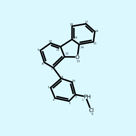 ClPc1cccc(-c2cccc3c2oc2ccccc23)c1